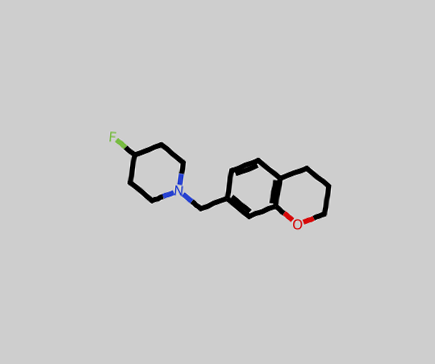 FC1CCN(Cc2ccc3c(c2)OCCC3)CC1